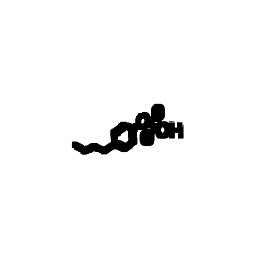 CCCCc1ccc(OS(=O)(=O)O)cc1